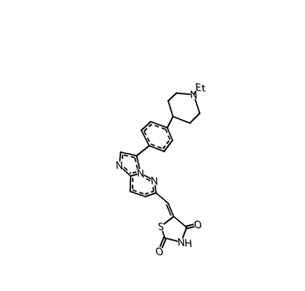 CCN1CCC(c2ccc(-c3cnc4ccc(/C=C5\SC(=O)NC5=O)nn34)cc2)CC1